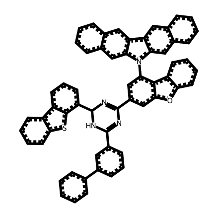 c1ccc(-c2cccc(C3=NC(c4cc(-n5c6cc7ccccc7cc6c6cc7ccccc7cc65)c5c(c4)oc4ccccc45)=NC(c4cccc5c4sc4ccccc45)N3)c2)cc1